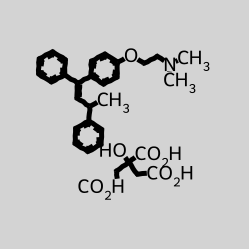 CC(C=C(c1ccccc1)c1ccc(OCCN(C)C)cc1)c1ccccc1.O=C(O)CC(O)(CC(=O)O)C(=O)O